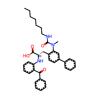 CCCCCCCNC(=O)N(C)c1cc(-c2ccccc2)ccc1C[C@H](Nc1ccccc1C(=O)c1ccccc1)C(=O)O